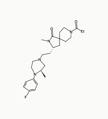 CCC(=O)N1CCC2(CC1)C[C@H](CCN1CCN(c3ccc(F)cc3)[C@H](C)C1)N(C)C2=O